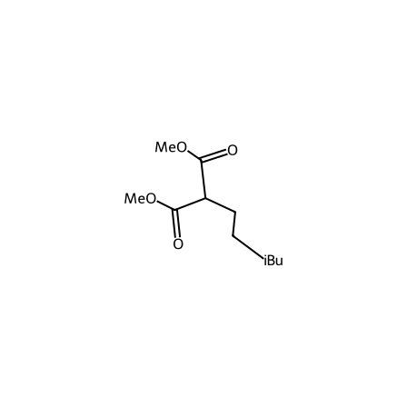 CCC(C)CCC(C(=O)OC)C(=O)OC